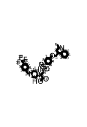 Cc1cc(COc2ccc(S(=O)(=O)N/C=C(/C(=O)O)N3CCN(Cc4ccc(C(F)(F)F)cc4)CC3)cc2)c2ccccc2n1